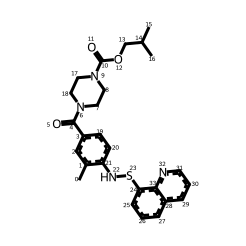 Cc1cc(C(=O)N2CCN(C(=O)OCC(C)C)CC2)ccc1NSc1cccc2cccnc12